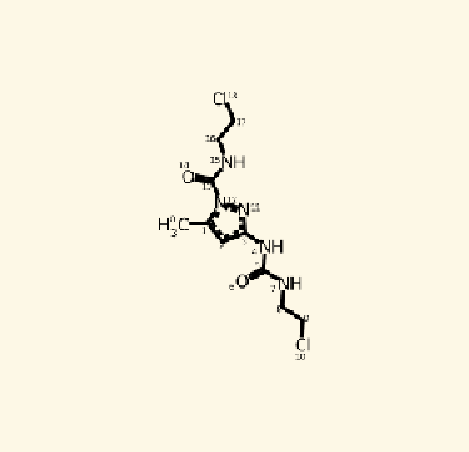 Cc1cc(NC(=O)NCCCl)nn1C(=O)NCCCl